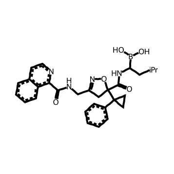 CC(C)CC(NC(=O)C1(C2(c3ccccc3)CC2)CC(CNC(=O)c2nccc3ccccc23)=NO1)B(O)O